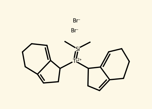 C[Si](C)=[Ti+2]([CH]1CC=C2CCCC=C21)[CH]1CC=C2CCCC=C21.[Br-].[Br-]